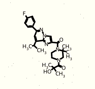 CC(C)c1cc(-c2ccc(F)cc2)nn2cc(C(=O)N3CCN(C(=O)C(C)(C)O)CC3(C)C)nc12